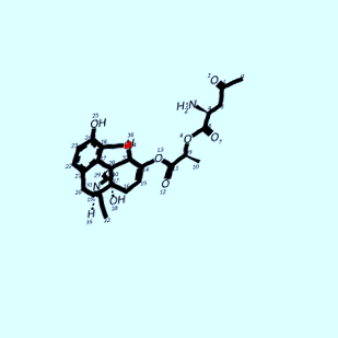 CC(=O)C[C@H](N)C(=O)O[C@@H](C)C(=O)OC1=CC[C@@]2(O)[C@H]3Cc4ccc(O)c5c4[C@@]2(CCN3C)[C@H]1O5